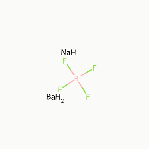 F[B-](F)(F)F.[BaH2].[NaH]